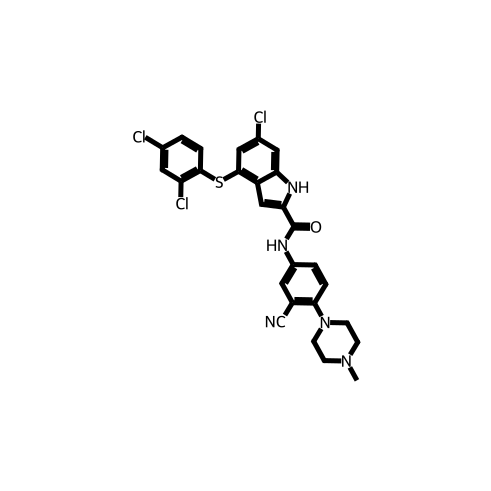 CN1CCN(c2ccc(NC(=O)c3cc4c(Sc5ccc(Cl)cc5Cl)cc(Cl)cc4[nH]3)cc2C#N)CC1